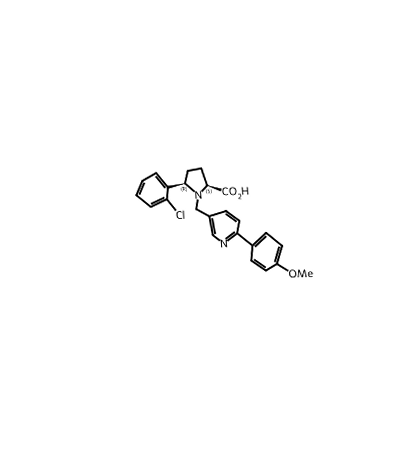 COc1ccc(-c2ccc(CN3[C@@H](c4ccccc4Cl)CC[C@H]3C(=O)O)cn2)cc1